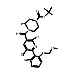 COCOc1cccc(F)c1-c1nc(Cl)c(C(=N)N2CCN(C(=O)OC(C)(C)C)C[C@@H]2C)cc1Cl